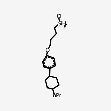 CCCC1CCC(c2ccc(OCCCC[SiH](Cl)Cl)cc2)CC1